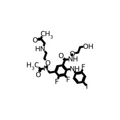 CC(=O)CNCCON(Cc1cc(C(=O)NOCCO)c(Nc2ccc(I)cc2F)c(F)c1F)C(C)=O